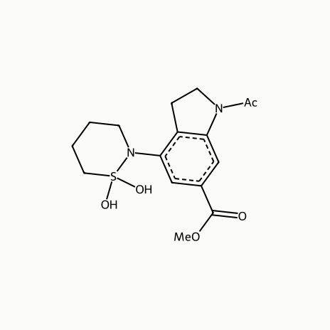 COC(=O)c1cc2c(c(N3CCCCS3(O)O)c1)CCN2C(C)=O